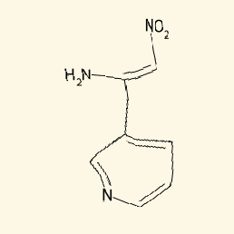 NC(=C[N+](=O)[O-])c1cccnc1